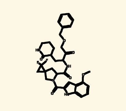 COc1cccc2[nH]c(C(=O)N3CC4(CC3C(=O)NC(CC3CCCNC3=O)C(=O)COCc3ccccc3)CC4(F)F)cc12